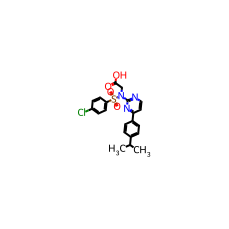 CC(C)c1ccc(-c2ccnc(N(CC(=O)O)S(=O)(=O)c3ccc(Cl)cc3)n2)cc1